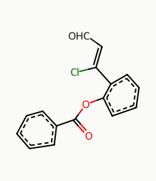 O=CC=C(Cl)c1ccccc1OC(=O)c1ccccc1